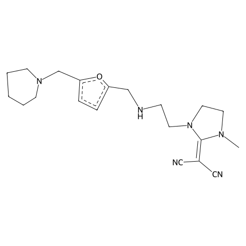 CN1CCN(CCNCc2ccc(CN3CCCCC3)o2)C1=C(C#N)C#N